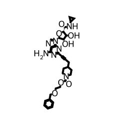 Nc1nc(C#CCC2CCN(C(=O)OCCOCc3ccccc3)CC2)nc2c1ncn2[C@@H]1O[C@H](C(=O)NC2CC2)C(O)[C@@H]1O